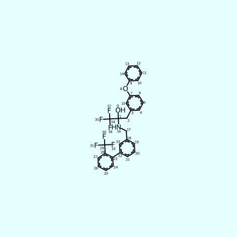 OC(Cc1cccc(Oc2ccccc2)c1)(NCc1cccc(-c2ccccc2C(F)(F)F)c1)C(F)(F)F